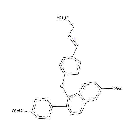 COc1ccc(-c2ccc3cc(OC)ccc3c2Oc2ccc(/C=C/CC(=O)O)cc2)cc1